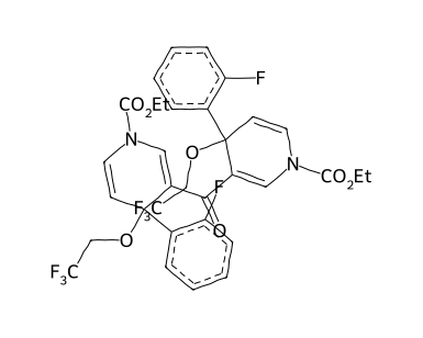 CCOC(=O)N1C=CC(OCC(F)(F)F)(c2ccccc2F)C(C(=O)C2=CN(C(=O)OCC)C=CC2(OCC(F)(F)F)c2ccccc2F)=C1